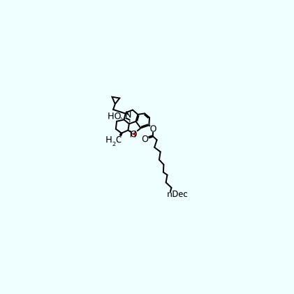 C=C1CC[C@@]2(O)C3Cc4ccc(OC(=O)CCCCCCCCCCCCCCCCCCC)c5c4[C@@]2(CCN3CC2CC2)[C@H]1O5